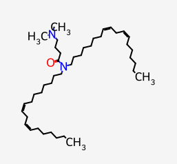 CCCCCC/C=C\C/C=C\CCCCCCCN(CCCCCCC/C=C\C/C=C\CCCCCC)C(=O)CCCN(C)C